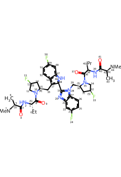 CC[C@H](NC(=O)[C@H](C)NC)C(=O)N1C[C@@H](F)C[C@H]1Cc1c(-c2nc3cc(F)ccc3n2C[C@@H]2C[C@H](F)CN2C(=O)C(NC(=O)[C@H](C)NC)C(C)C)[nH]c2cc(F)ccc12